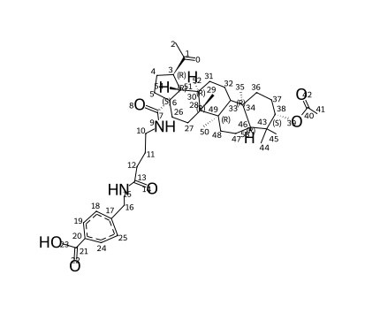 C=C(C)[C@@H]1CC[C@]2(C(=O)NCCCC(=O)NCc3ccc(C(=O)O)cc3)CC[C@]3(C)[C@H](CCC4[C@@]5(C)CC[C@H](OC(C)=O)C(C)(C)[C@@H]5CC[C@]43C)[C@@H]12